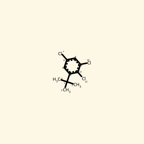 CC(C)(C)c1cc(Cl)cc(Cl)c1Cl